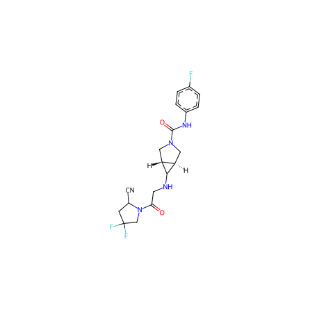 N#CC1CC(F)(F)CN1C(=O)CNC1[C@@H]2CN(C(=O)Nc3ccc(F)cc3)C[C@@H]12